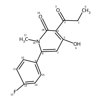 CCC(=O)c1c(O)cc(-c2ccc(F)cc2)n(C)c1=O